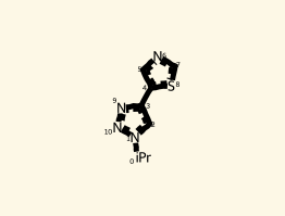 CC(C)n1cc(-c2cncs2)nn1